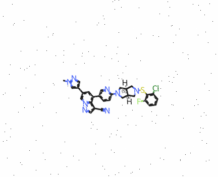 Cn1cc(-c2cc(-c3ccc(N4C[C@H]5CN(Sc6c(F)cccc6Cl)C[C@H]5C4)nc3)c3c(C#N)cnn3c2)cn1